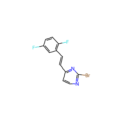 Fc1ccc(F)c(/C=C/c2ccnc(Br)n2)c1